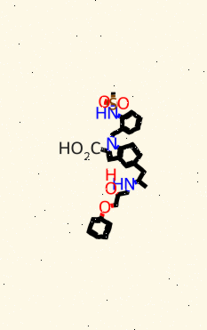 CC(Cc1ccc2c(c1)cc(C(=O)O)n2Cc1ccccc1NS(C)(=O)=O)NCC(O)COc1ccccc1